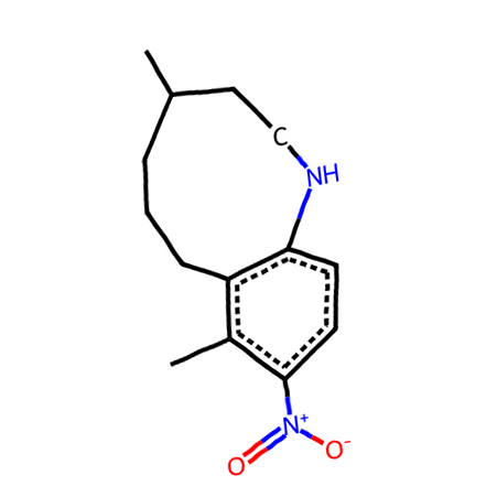 Cc1c([N+](=O)[O-])ccc2c1CCCC(C)CCN2